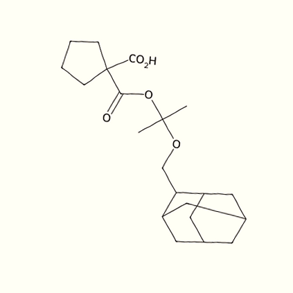 CC(C)(OCC1C2CC3CC(C2)CC1C3)OC(=O)C1(C(=O)O)CCCC1